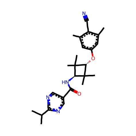 Cc1cc(O[C@H]2C(C)(C)[C@H](NC(=O)c3cnc(C(C)C)nc3)C2(C)C)cc(C)c1C#N